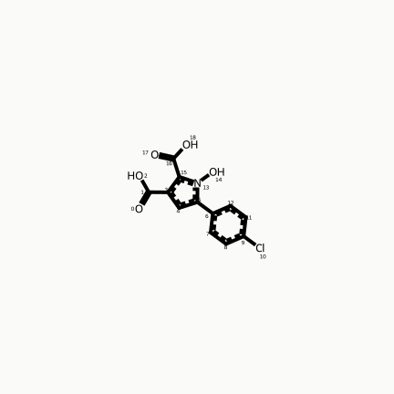 O=C(O)c1cc(-c2ccc(Cl)cc2)n(O)c1C(=O)O